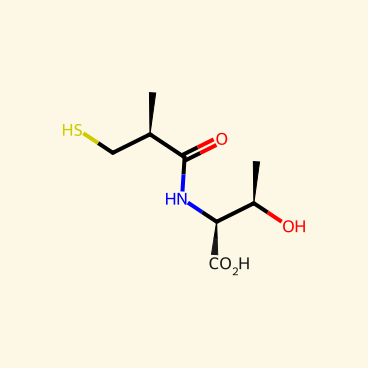 C[C@H](CS)C(=O)N[C@H](C(=O)O)[C@@H](C)O